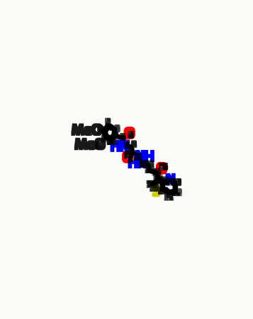 COc1ccc(C(=O)NCC(=O)NNCCC(=O)c2csc3cccnc23)cc1OC